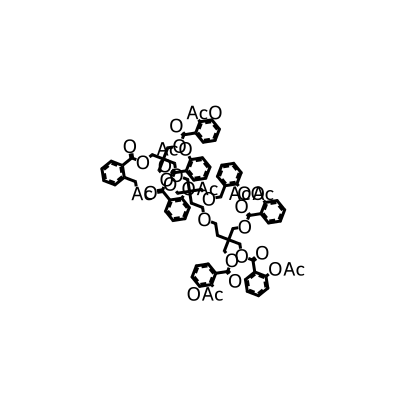 CC(=O)Cc1ccccc1C(=O)OCC(COCC(CCOCCC(COC(=O)c1ccccc1OC(C)=O)(COC(=O)c1ccccc1OC(C)=O)COC(=O)c1ccccc1OC(C)=O)(COCc1ccccc1OC(C)=O)COC(=O)c1ccccc1OC(C)=O)(COC(=O)c1ccccc1OC(C)=O)COC(=O)c1ccccc1OC(C)=O